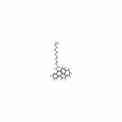 BrCCCCCCCCCCCc1c2ccccc2c2ccc3cccc4ccc1c2c43